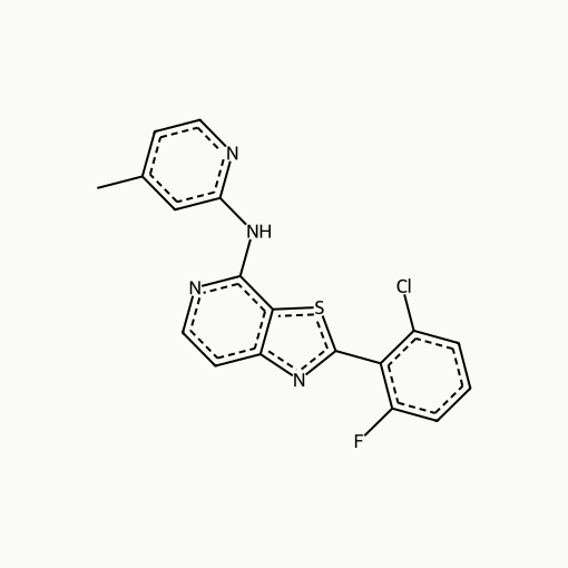 Cc1ccnc(Nc2nccc3nc(-c4c(F)cccc4Cl)sc23)c1